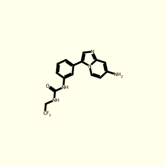 Nc1ccn2c(-c3cccc(NC(=O)NCC(F)(F)F)c3)cnc2c1